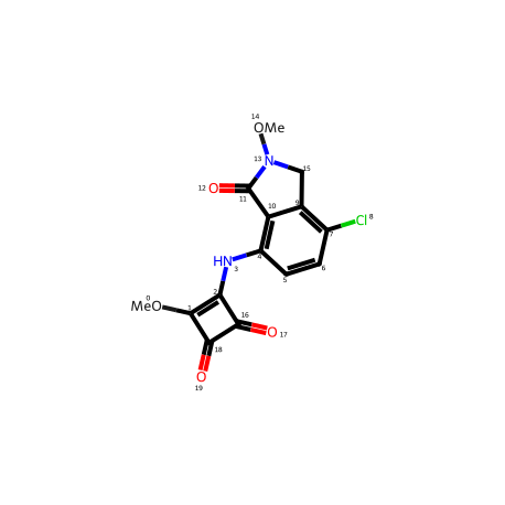 COc1c(Nc2ccc(Cl)c3c2C(=O)N(OC)C3)c(=O)c1=O